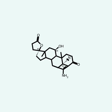 CC12C[C@@H](O)C3C(C4C[C@]5(C#N)C(=C4N)C(=O)CCC35C)C1CC[C@@]21CCC(=O)O1